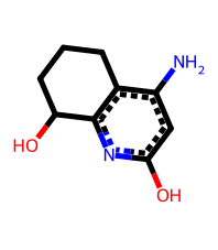 Nc1cc(O)nc2c1CCCC2O